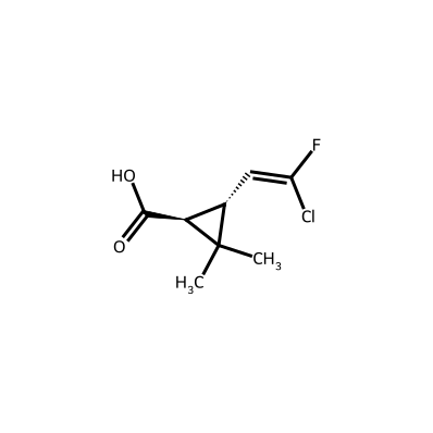 CC1(C)[C@@H](C=C(F)Cl)[C@@H]1C(=O)O